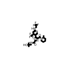 CC1CCCCN1C(=O)c1nc(C(=O)NCC(C)(C)O)sc1-c1cnc(NCC(F)(F)F)cc1C(F)(F)F